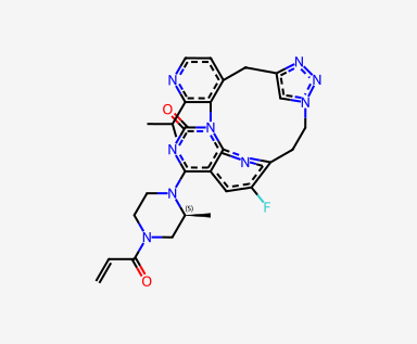 C=CC(=O)N1CCN(c2nc(=O)n3c4nc(c(F)cc24)CCn2cc(nn2)Cc2ccnc(C(C)C)c2-3)[C@@H](C)C1